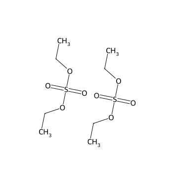 CCOS(=O)(=O)OCC.CCOS(=O)(=O)OCC